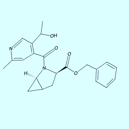 Cc1cc(C(=O)N2[C@@H](C(=O)OCc3ccccc3)CC3C[C@H]32)c(C(C)O)cn1